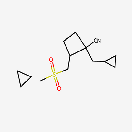 C1CC1.CS(=O)(=O)CC1CCC1(C#N)CC1CC1